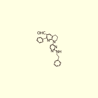 O=Cc1cc2c(nc1-c1ccccc1)N(c1ccnc(NCCc3ccccc3)n1)CCC2